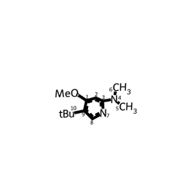 COc1cc(N(C)C)ncc1C(C)(C)C